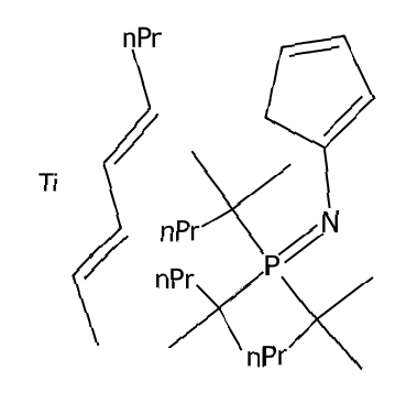 CC=CC=CCCC.CCCC(C)(C)P(=NC1=CC=CC1)(C(C)(C)CCC)C(C)(C)CCC.[Ti]